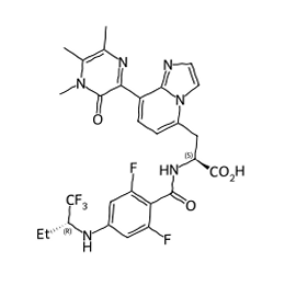 CC[C@@H](Nc1cc(F)c(C(=O)N[C@@H](Cc2ccc(-c3nc(C)c(C)n(C)c3=O)c3nccn23)C(=O)O)c(F)c1)C(F)(F)F